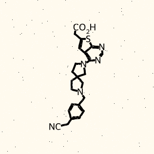 N#CCc1ccc(CN2CCC3(CCN(c4ncnc5sc(CC(=O)O)cc45)C3)C2)cc1